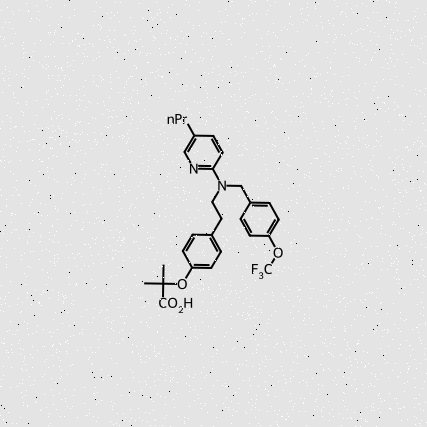 CCCc1ccc(N(CCc2ccc(OC(C)(C)C(=O)O)cc2)Cc2ccc(OC(F)(F)F)cc2)nc1